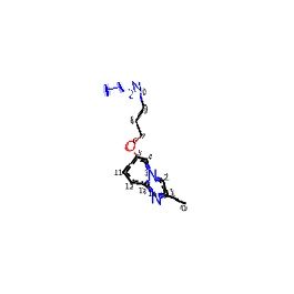 Cc1cn2cc(OCCCN)ccc2n1